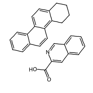 O=C(O)c1cc2ccccc2cn1.c1ccc2c(c1)ccc1c3c(ccc12)CCCC3